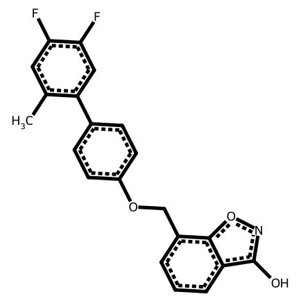 Cc1cc(F)c(F)cc1-c1ccc(OCc2cccc3c(O)noc23)cc1